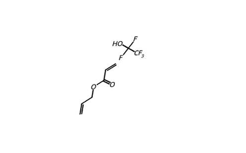 C=CCOC(=O)C=C.OC(F)(F)C(F)(F)F